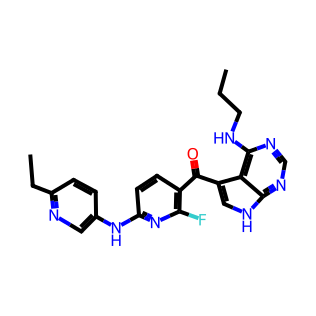 CCCNc1ncnc2[nH]cc(C(=O)c3ccc(Nc4ccc(CC)nc4)nc3F)c12